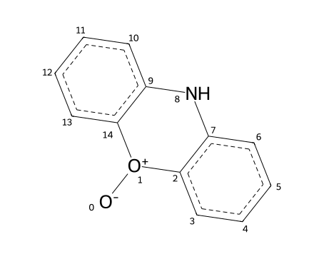 [O-][O+]1c2ccccc2Nc2ccccc21